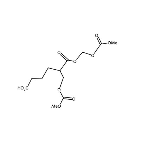 COC(=O)OCOC(=O)C(CCCC(=O)O)COC(=O)OC